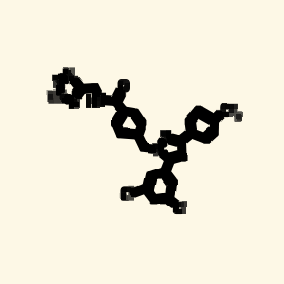 O=C(NCc1nn[nH]n1)c1ccc(Cn2nc(-c3ccc(C(F)(F)F)cc3)cc2-c2cc(Cl)cc(Cl)c2)cc1